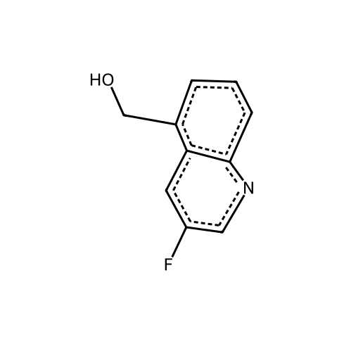 OCc1cccc2ncc(F)cc12